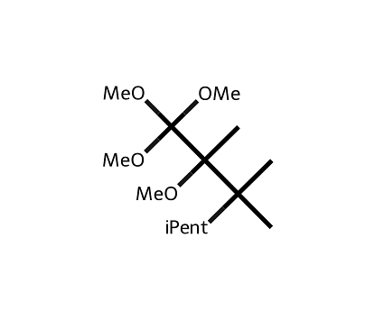 CCCC(C)C(C)(C)C(C)(OC)C(OC)(OC)OC